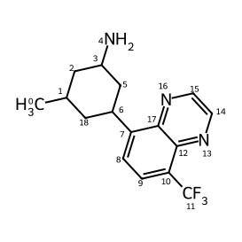 CC1CC(N)CC(c2ccc(C(F)(F)F)c3nccnc23)C1